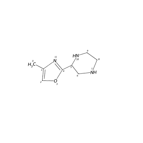 Cc1coc(C2CNCCN2)n1